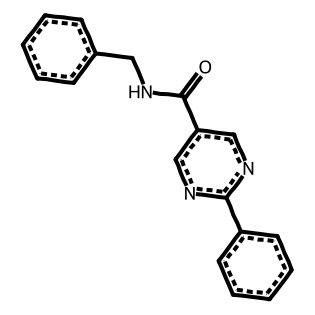 O=C(NCc1ccccc1)c1cnc(-c2ccccc2)nc1